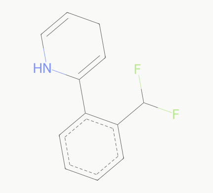 FC(F)c1ccccc1C1=CCC=CN1